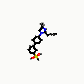 CCOC(=O)Cc1nc(C(F)(F)F)cn1-c1ccc(-c2cccc(S(C)(=O)=O)c2)cc1